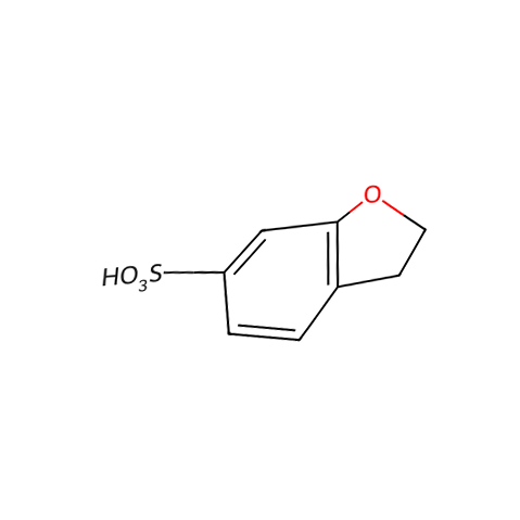 O=S(=O)(O)c1ccc2c(c1)OCC2